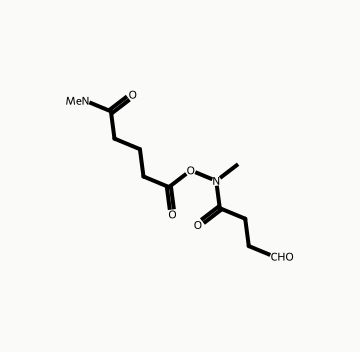 CNC(=O)CCCC(=O)ON(C)C(=O)CCC=O